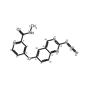 CNC(=O)c1cc(Oc2ccc3nc(N=[N+]=[N-])ncc3c2)ccn1